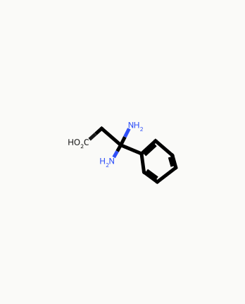 NC(N)(CC(=O)O)c1ccccc1